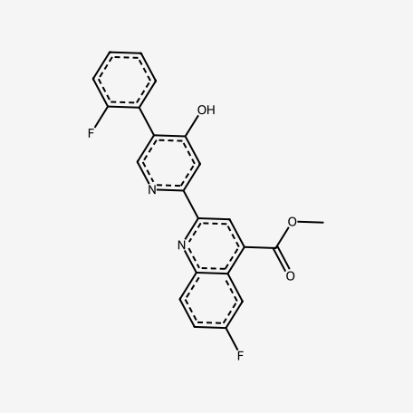 COC(=O)c1cc(-c2cc(O)c(-c3ccccc3F)cn2)nc2ccc(F)cc12